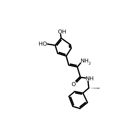 C[C@@H](NC(=O)/C(N)=C/c1ccc(O)c(O)c1)c1ccccc1